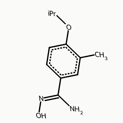 Cc1cc(/C(N)=N/O)ccc1OC(C)C